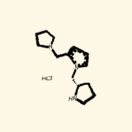 Cl.c1cc(CN2CCCC2)n(C[C@@H]2CCCN2)c1